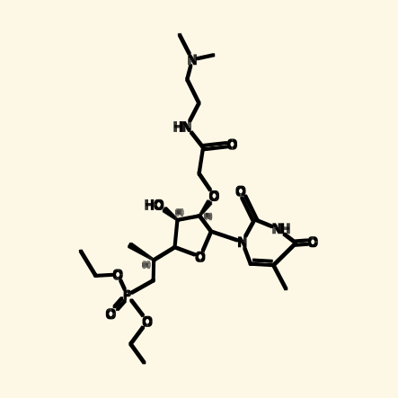 CCOP(=O)(C[C@@H](C)C1OC(n2cc(C)c(=O)[nH]c2=O)[C@H](OCC(=O)NCCN(C)C)[C@@H]1O)OCC